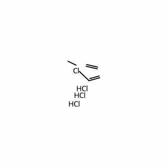 C=C.C=CCl.CC.Cl.Cl.Cl